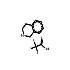 O=C(O)C(F)(F)F.c1ccc2c(c1)CCNC2